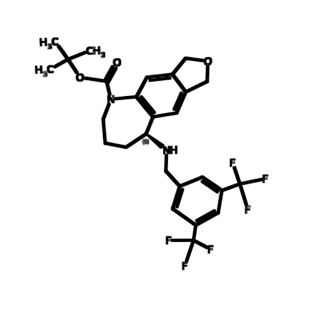 CC(C)(C)OC(=O)N1CCC[C@H](NCc2cc(C(F)(F)F)cc(C(F)(F)F)c2)c2cc3c(cc21)COC3